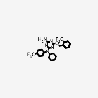 Nc1nc(OCc2ccccc2C(F)(F)F)nc(N(c2ccc(C(F)(F)F)cc2)C2CCCCC2)n1